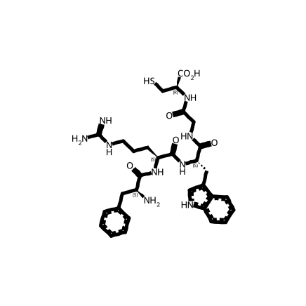 N=C(N)NCCC[C@H](NC(=O)[C@@H](N)Cc1ccccc1)C(=O)N[C@@H](Cc1c[nH]c2ccccc12)C(=O)NCC(=O)N[C@@H](CS)C(=O)O